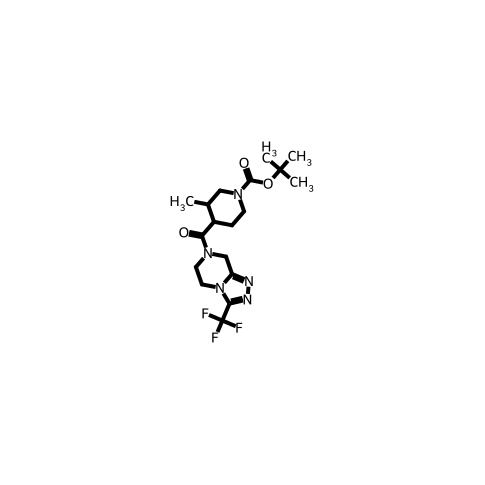 CC1CN(C(=O)OC(C)(C)C)CCC1C(=O)N1CCn2c(nnc2C(F)(F)F)C1